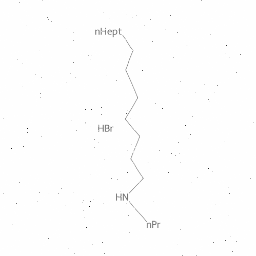 Br.CCCCCCCCCCCCCCNCCC